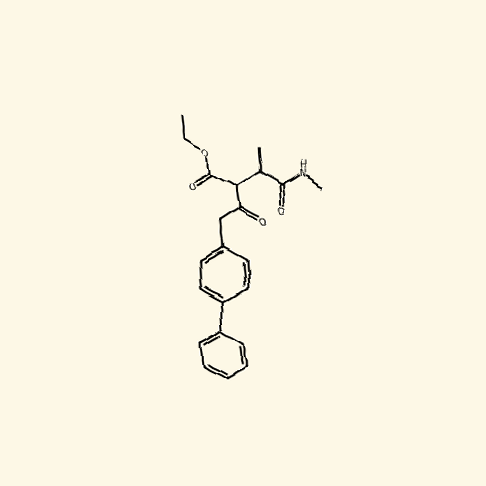 CCOC(=O)C(C(=O)Cc1ccc(-c2ccccc2)cc1)C(C)C(=O)NC